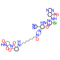 COc1cc(N2CCN(C(=O)CCCCCCCCNc3cccc4c3C(=O)N(C3CCC(=O)NC3=O)C4=O)CC2)c(-c2cnn(C)c2)cc1Nc1ncc(Br)c(Nc2ccc3nccnc3c2P(C)(C)=O)n1